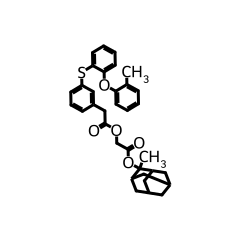 Cc1ccccc1Oc1ccccc1Sc1cccc(CC(=O)OCC(=O)OC2(C)C3CC4CC(C3)CC2C4)c1